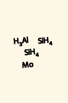 [AlH3].[Mo].[SiH4].[SiH4]